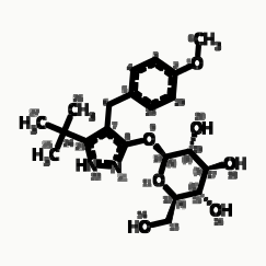 COc1ccc(Cc2c(O[C@@H]3O[C@H](CO)[C@@H](O)[C@H](O)[C@H]3O)n[nH]c2C(C)(C)C)cc1